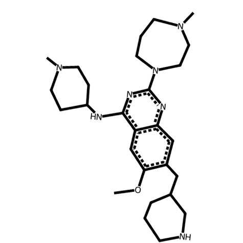 COc1cc2c(NC3CCN(C)CC3)nc(N3CCCN(C)CC3)nc2cc1CC1CCCNC1